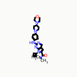 CN(C)C(=O)c1cc2cnc(Nc3ccc(N4CCC(N5CCOCC5)CC4)cc3)nc2n1C12CC(C1)C2